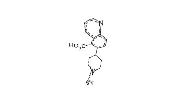 CC(C)N1CCC(c2ccc3ncccc3c2C(=O)O)CC1